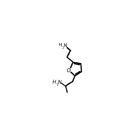 CC(N)Cc1ccc(CCN)o1